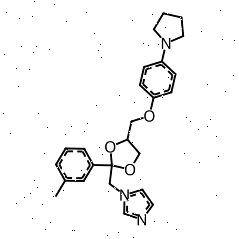 Cc1cccc(C2(Cn3ccnc3)OCC(COc3ccc(N4CCCC4)cc3)O2)c1